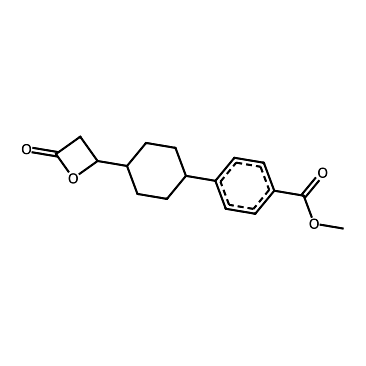 COC(=O)c1ccc(C2CCC(C3CC(=O)O3)CC2)cc1